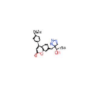 CCCCC(O)C1(Cc2ccc3c(-c4ccc(OC)cc4)cc(=O)oc3c2)C=NN=N1